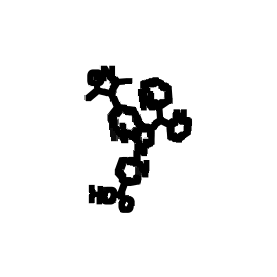 CC1=NOC(C)C1c1cnc2c(c1)c(C(c1ccccn1)c1ccccn1)cn2-c1ccc(C(=O)O)cn1